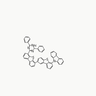 c1ccc(C2=NC(c3cccc4c3sc3c(-c5ccc6sc7c(-n8c9ccccc9c9ccccc98)cccc7c6c5)cccc34)=NC(c3ccccc3)N2)cc1